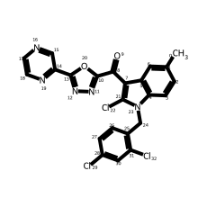 Cc1ccc2c(c1)c(C(=O)c1nnc(-c3cnccn3)o1)c(Cl)n2Cc1ccc(Cl)cc1Cl